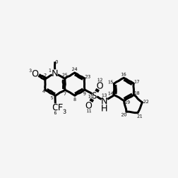 Cn1c(=O)cc(C(F)(F)F)c2cc(S(=O)(=O)Nc3cccc4c3CCC4)ccc21